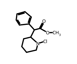 COC(=O)C(c1ccccc1)C1CCCCN1Cl